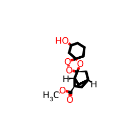 COC(=O)[C@@H]1C[C@@H]2C[C@H]1[C@]1(C2)OOC2(CCCC(O)C2)O1